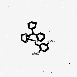 COc1ccc(OC)c(CNC2CC3CCN(CC3)C2C(c2ccccc2)c2ccccc2)c1